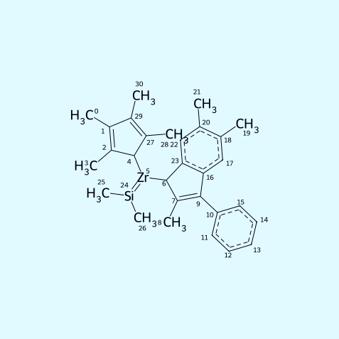 CC1=C(C)[CH]([Zr]([CH]2C(C)=C(c3ccccc3)c3cc(C)c(C)cc32)=[Si](C)C)C(C)=C1C